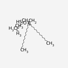 C=C(COC(C)(S)CCCC(C)(C)C)N(CCCCCCCCCCCCCC)CCCCCCCCCCCCCC